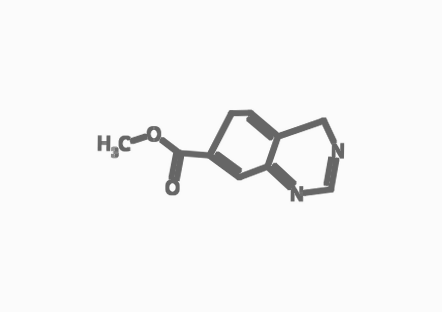 COC(=O)C1=CC2=NC=NCC2=CC1